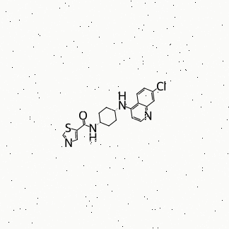 O=C(N[C@H]1CC[C@@H](Nc2ccnc3cc(Cl)ccc23)CC1)c1cncs1